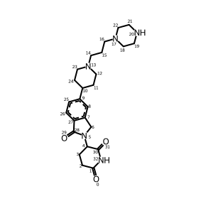 O=C1CCC(N2Cc3cc(C4CCN(CCCN5CCNCC5)CC4)ccc3C2=O)C(=O)N1